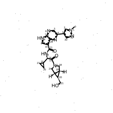 Cn1cc(-c2cnc3[nH]cc(C(=O)N[C@@H](C(=O)N4C[C@@H]5[C@@H](CO)[C@@H]5C4)C4CC4)c3n2)cn1